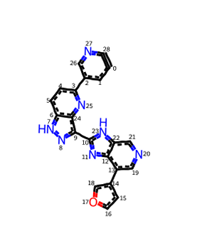 c1cc(-c2ccc3[nH]nc(-c4nc5c(-c6ccoc6)cncc5[nH]4)c3n2)cnc#1